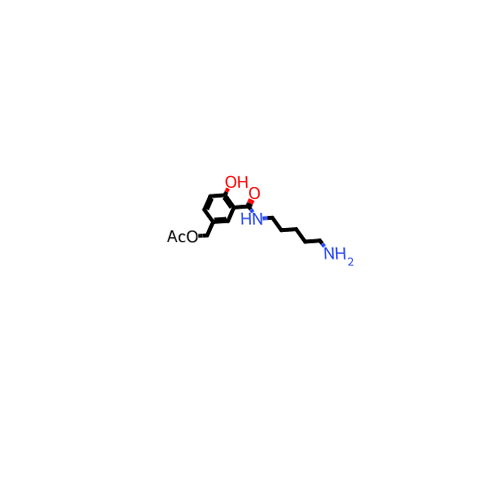 CC(=O)OCc1ccc(O)c(C(=O)NCCCCCN)c1